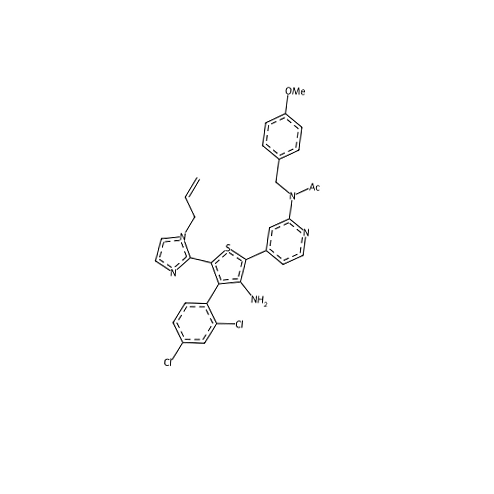 C=CCn1ccnc1-c1sc(-c2ccnc(N(Cc3ccc(OC)cc3)C(C)=O)c2)c(N)c1-c1ccc(Cl)cc1Cl